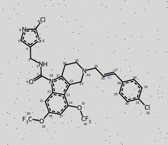 O=C(NCc1cnc(Cl)s1)n1c2c(c3c(OC(F)(F)F)cc(OC(F)(F)F)cc31)CN(C/C=C/c1ccc(Cl)cc1)CC2